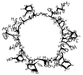 CC(C)[C@@H]1NC(=O)[C@H](Cc2ccccc2)NC(=O)CSC[C@@H](C(=O)NCC(N)=O)NC(=O)[C@@H]2CCCN2C(=O)[C@H](Cc2ccccc2)N(C)C(=O)[C@H]([C@@H](C)O)NC(=O)[C@H](Cc2c[nH]c3ccccc23)NC(=O)CN(C)C(=O)[C@H](Cc2ccccc2)N(C)C(=O)[C@H](Cc2ccc(O)cc2)NC(=O)CN(C)C(=O)[C@H](CCC(=O)O)NC1=O